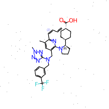 C=C/C=C\c1nc(N2CCC[C@@H]2[C@H]2CC[C@H](C(=O)O)CC2)c(CN(Cc2cccc(C(F)(F)F)c2)c2nnn(C)n2)cc1C